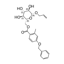 C=CCO[C@@H]1O[C@H](COC(=O)c2ccc(OCc3ccccc3)cc2C)[C@@H](O)[C@H](O)[C@H]1O